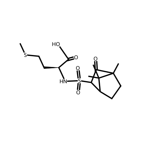 CSCC[C@H](NS(=O)(=O)C1C(=O)C2(C)CCC1C2(C)C)C(=O)O